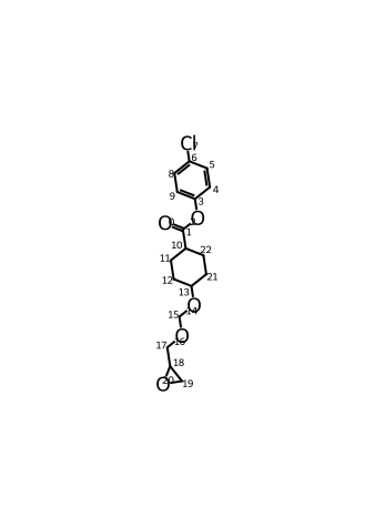 O=C(Oc1ccc(Cl)cc1)C1CCC(OCOCC2CO2)CC1